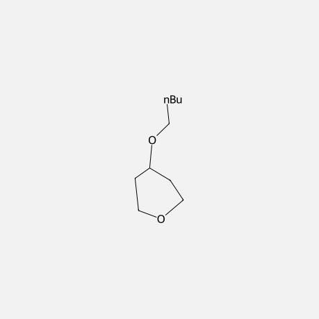 [CH2]CCCCOC1CCOCC1